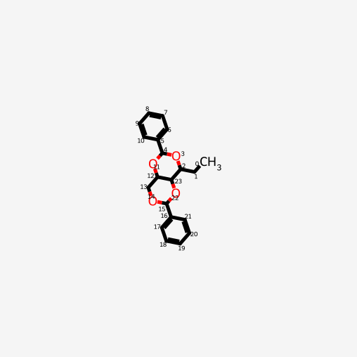 CCC1OC(c2ccccc2)OC2COC(c3ccccc3)OC12